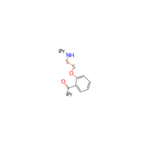 CC(C)NSSOc1ccccc1C(=O)C(C)C